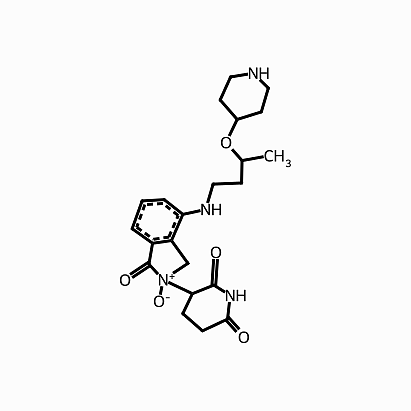 CC(CCNc1cccc2c1C[N+]([O-])(C1CCC(=O)NC1=O)C2=O)OC1CCNCC1